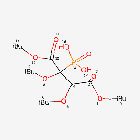 CCC(C)OC(=O)C(OC(C)CC)C(OC(C)CC)(C(=O)OC(C)CC)P(=O)(O)O